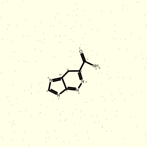 NC(=O)C1=NN=C2N=CN=C2C1